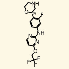 Fc1cc(Nc2nccc(OCC(F)(F)F)n2)ccc1[C@@H]1CNCCO1